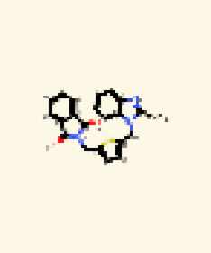 Cc1nc2ccccc2n1Cc1ccc(CN2C(=O)c3ccccc3C2=O)s1